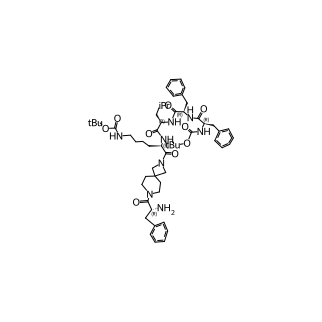 CC(C)C[C@@H](NC(=O)[C@@H](Cc1ccccc1)NC(=O)[C@@H](Cc1ccccc1)NC(=O)OC(C)(C)C)C(=O)N[C@H](CCCCNC(=O)OC(C)(C)C)C(=O)N1CC2(CCN(C(=O)[C@H](N)Cc3ccccc3)CC2)C1